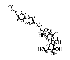 CCCCCc1ccc(-c2ccc(CCCCC(=O)N[C@@H](COC3OC(CO)C(O)C(O)C3O)[C@H](O)[C@@H](C)O)cc2)cc1